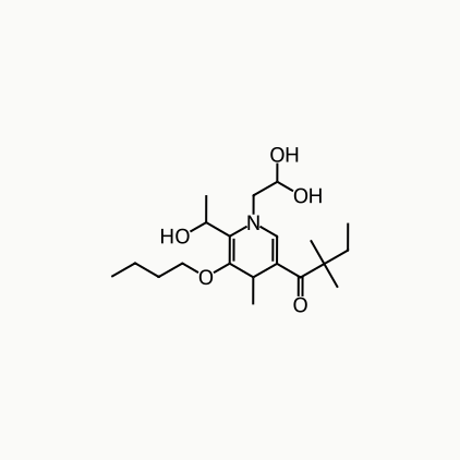 CCCCOC1=C(C(C)O)N(CC(O)O)C=C(C(=O)C(C)(C)CC)C1C